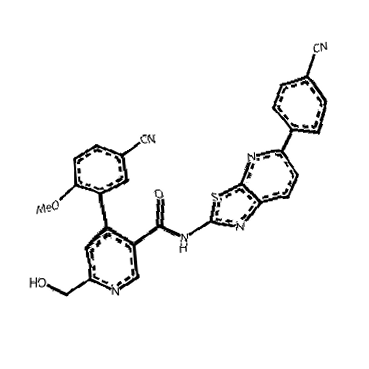 COc1ccc(C#N)cc1-c1cc(CO)ncc1C(=O)Nc1nc2ccc(-c3ccc(C#N)cc3)nc2s1